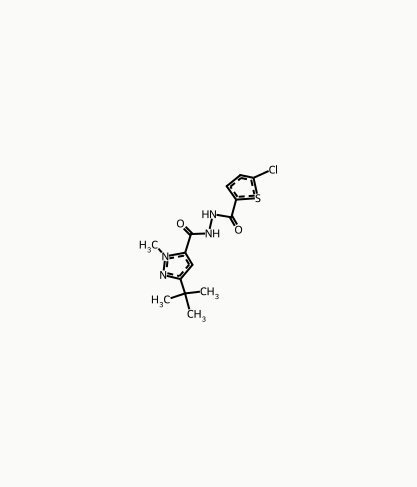 Cn1nc(C(C)(C)C)cc1C(=O)NNC(=O)c1ccc(Cl)s1